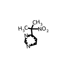 CC(C)(c1ccncn1)[N+](=O)[O-]